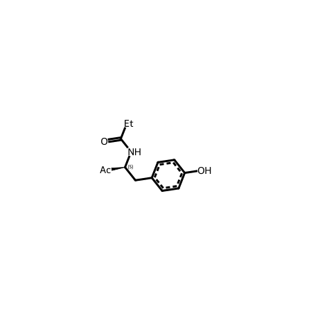 CCC(=O)N[C@@H](Cc1ccc(O)cc1)C(C)=O